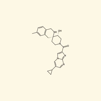 Cc1ccc2c(c1)C[C@]1(CCN(C(=O)c3cn4cc(C5CC5)cnc4n3)C[C@H]1O)NC2